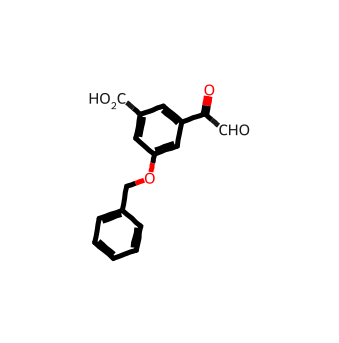 O=CC(=O)c1cc(OCc2ccccc2)cc(C(=O)O)c1